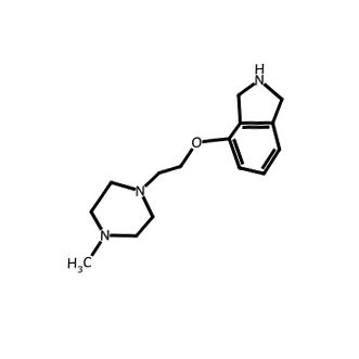 CN1CCN(CCOc2cccc3c2CNC3)CC1